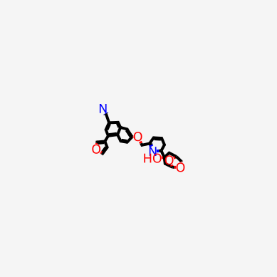 N#Cc1cc(-c2ccoc2)c2ccc(OCC3=NC(C4(O)CC5COC(C4)O5)CC=C3)cc2c1